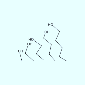 CCCCCO.CCCCO.CCCO.CCO.CO